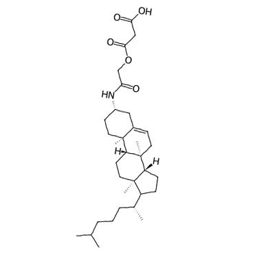 CC(C)CCC[C@@H](C)C1CC[C@H]2[C@]3(C)CC=C4C[C@@H](NC(=O)COC(=O)CC(=O)O)CC[C@]4(C)[C@H]3CC[C@]12C